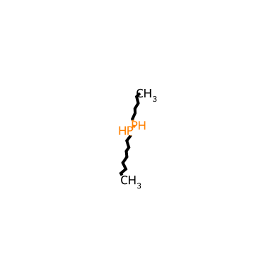 CCCCCCCCCPPCCCCCC